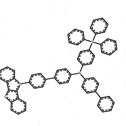 c1ccc(-c2ccc(N(c3ccc(-c4ccc(-n5c6ccccc6c6sc7ccccc7c65)cc4)cc3)c3ccc([Si](c4ccccc4)(c4ccccc4)c4ccccc4)cc3)cc2)cc1